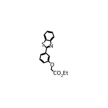 CCOC(=O)COc1cccc(-c2nc3ccccc3s2)c1